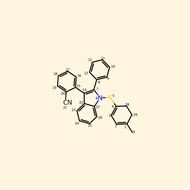 CC1=CC=C(Sn2c(-c3ccccc3)c(-c3ccccc3C#N)c3ccccc32)CC1